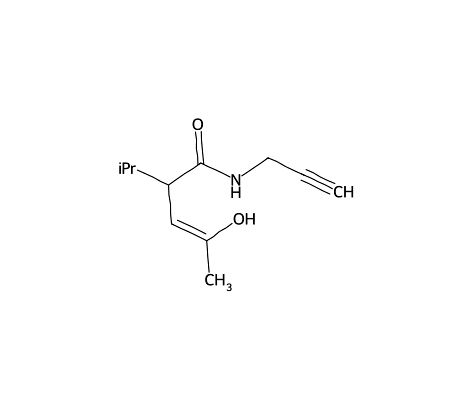 C#CCNC(=O)C(C=C(C)O)C(C)C